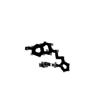 CN1CCCC1CCSC1=NCc2cc(Cl)ccc2N1.Cl.Cl